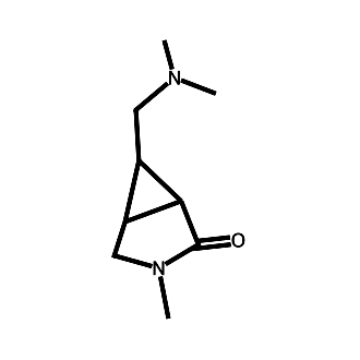 CN(C)CC1C2CN(C)C(=O)C12